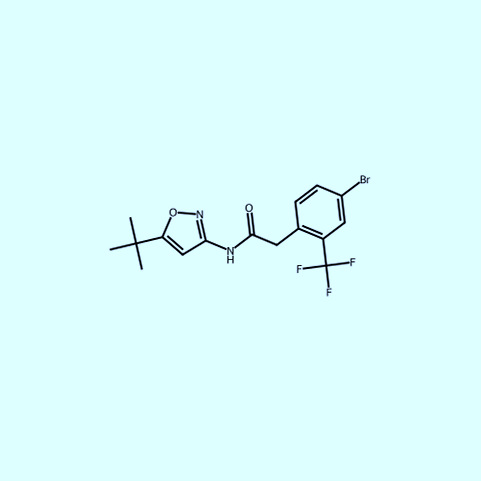 CC(C)(C)c1cc(NC(=O)Cc2ccc(Br)cc2C(F)(F)F)no1